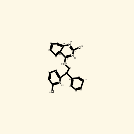 Clc1cccc(C(CNc2nc(Cl)nc3ccccc23)c2ccccc2)n1